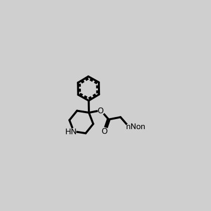 CCCCCCCCCCC(=O)OC1(c2ccccc2)CCNCC1